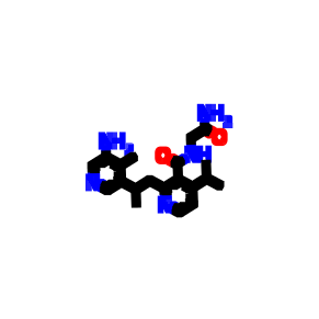 Cc1c(N)cncc1C(C)Cc1nccc(C(C)C)c1C(=O)NCC(N)=O